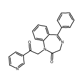 O=C(CN1C(=O)CN=C(c2ccccc2)c2ccccc21)c1cccnc1